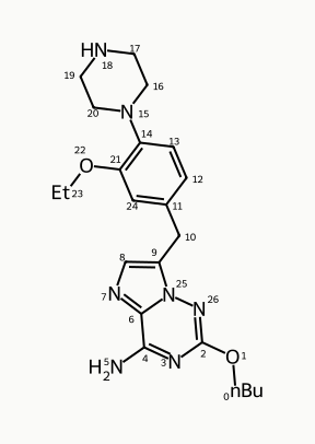 CCCCOc1nc(N)c2ncc(Cc3ccc(N4CCNCC4)c(OCC)c3)n2n1